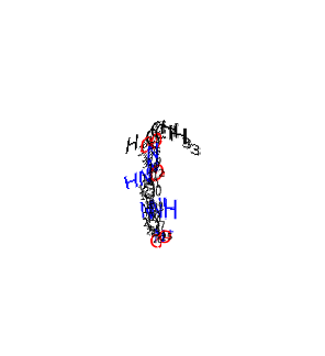 CC(C)(C)OC(=O)N1CCN(C(=O)NC2CCC(c3nc4ccc([N+](=O)[O-])cc4[nH]3)CC2)CC1